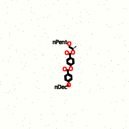 CCCCCCCCCCOc1ccc(C(=O)Oc2ccc(C(=O)O[C@@H](C)COCCCCC)cc2)cc1